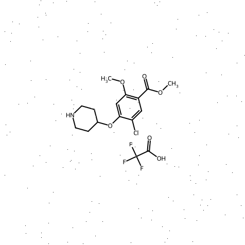 COC(=O)c1cc(Cl)c(OC2CCNCC2)cc1OC.O=C(O)C(F)(F)F